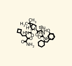 CC(C)(C)[C@H](NC(=O)NC1(Cc2cccc(O)c2)CCCCC1)C(=O)N1CC2[C@@H]([C@H]1C(=O)NC(CC1CCC1)C(=O)C(N)=O)C2(C)C